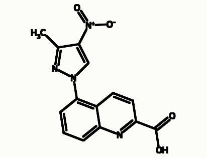 Cc1nn(-c2cccc3nc(C(=O)O)ccc23)cc1[N+](=O)[O-]